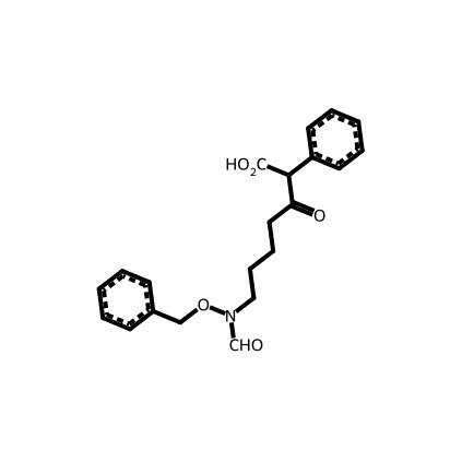 O=CN(CCCCC(=O)C(C(=O)O)c1ccccc1)OCc1ccccc1